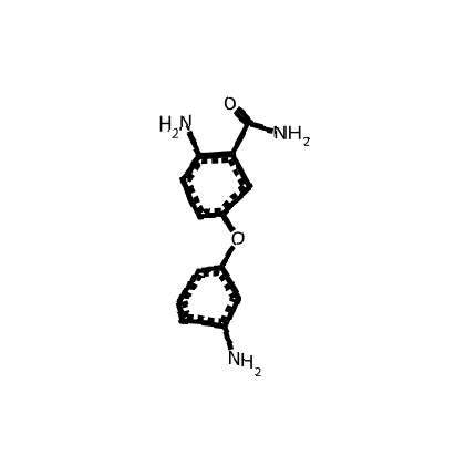 NC(=O)c1cc(Oc2cccc(N)c2)ccc1N